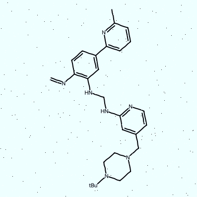 C=Nc1ccc(-c2cccc(C)n2)cc1NCNc1cc(CN2CCN(C(C)(C)C)CC2)ccn1